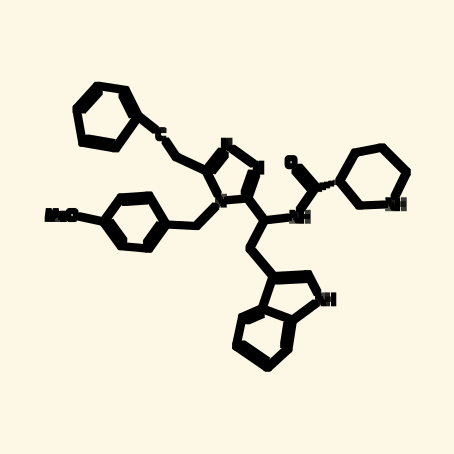 COc1ccc(Cn2c(CCc3ccccc3)nnc2C(Cc2c[nH]c3ccccc23)NC(=O)[C@@H]2CCCNC2)cc1